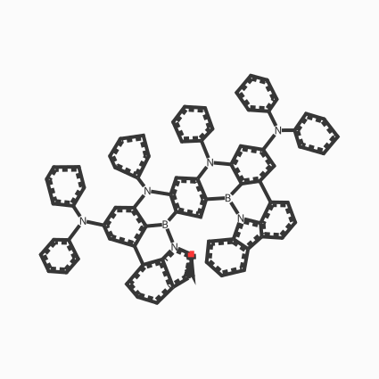 c1ccc(N(c2ccccc2)c2cc3c4c(c2)N(c2ccccc2)c2cc5c(cc2B4n2c4ccccc4c4cccc-3c42)B2c3c(cc(N(c4ccccc4)c4ccccc4)cc3N5c3ccccc3)-c3cccc4c5ccccc5n2c34)cc1